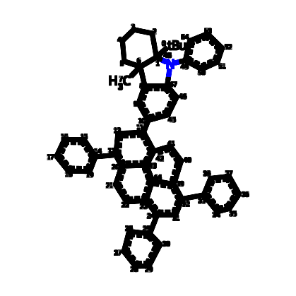 CC(C)(C)C12CCCCC1(C)c1cc(-c3cc(-c4ccccc4)c4ccc5c(-c6ccccc6)cc(-c6ccccc6)c6ccc3c4c56)ccc1N2c1ccccc1